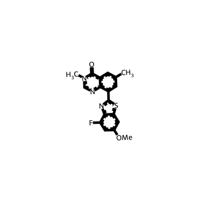 COc1cc(F)c2nc(-c3cc(C)cc4c(=O)n(C)cnc34)sc2c1